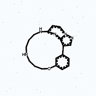 c1cc2cc(c1)-c1cnn3ccc(nc13)NCCCNCCCO2